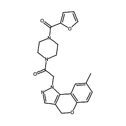 Cc1ccc2c(c1)-c1c(cnn1CC(=O)N1CCN(C(=O)c3ccco3)CC1)CO2